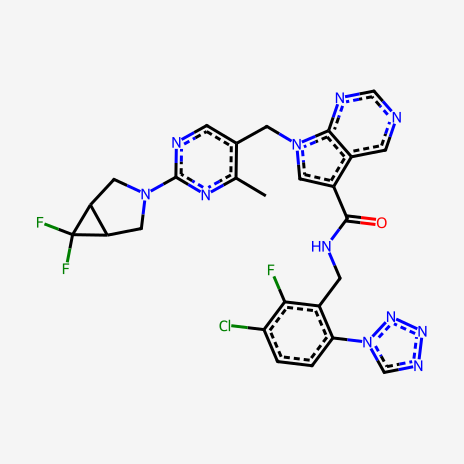 Cc1nc(N2CC3C(C2)C3(F)F)ncc1Cn1cc(C(=O)NCc2c(-n3cnnn3)ccc(Cl)c2F)c2cncnc21